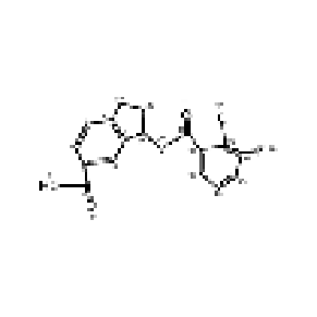 O=C(O)c1ccc2c(c1)C(NC(=O)c1cccc(F)c1Cl)CC2